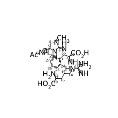 CC(N)=O.CN1CC(=O)NC1=N.N=C(N)NCCC[C@H](N)C(=O)O.N[C@@H](Cc1ccccc1)C(=O)O